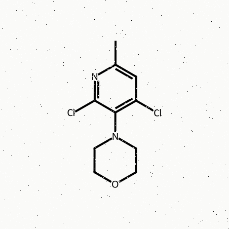 Cc1cc(Cl)c(N2CCOCC2)c(Cl)n1